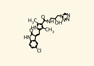 Cc1[nH]c(/C=C2\C(=O)Nc3ccc(Cl)cc32)c(C)c1C(=O)NCC(O)Cn1cnnn1